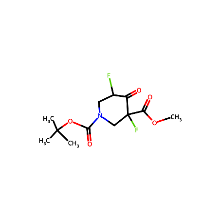 COC(=O)C1(F)CN(C(=O)OC(C)(C)C)CC(F)C1=O